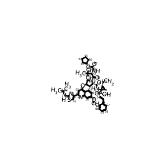 C=C[C@@H]1C[C@]1(NC(=O)[C@@H]1C[C@@H](Oc2cc(-c3csc(NC(C)C)n3)nc3cc(OC)ccc23)CN1C(=O)[C@@H](NC(=O)OC1CCCC1)C(C)(C)C)P(=O)(O)/C=C/c1ccccc1